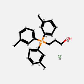 Cc1cccc([P+](CCCO)(c2cccc(C)c2)c2cccc(C)c2)c1.[Cl-]